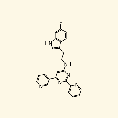 Fc1ccc2c(CCNc3cc(-c4cccnc4)nc(-c4ccccn4)n3)c[nH]c2c1